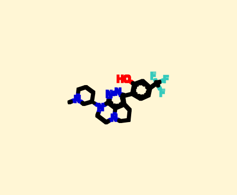 CN1CCC[C@@H](N2CCN3CCCc4c(-c5ccc(C(F)(F)F)cc5O)nnc2c43)C1